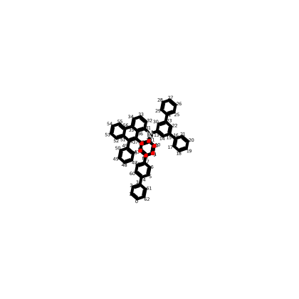 c1ccc(-c2ccc(-c3ccc(N(c4cc(-c5ccccc5)cc(-c5ccccc5)c4)c4cccc5c4c(-c4ccccc4)c(-c4ccccc4)c4ccccc45)cc3)cc2)cc1